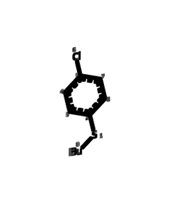 [CH2]C(CC)Sc1ccc(Cl)cc1